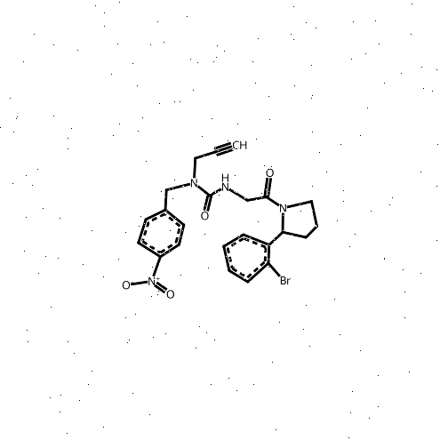 C#CCN(Cc1ccc([N+](=O)[O-])cc1)C(=O)NCC(=O)N1CCCC1c1ccccc1Br